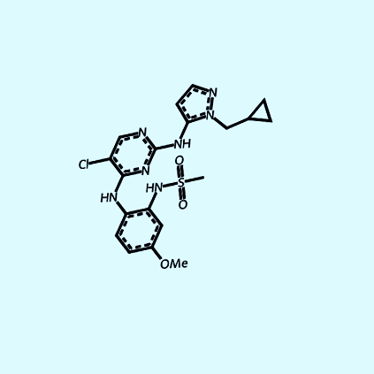 COc1ccc(Nc2nc(Nc3ccnn3CC3CC3)ncc2Cl)c(NS(C)(=O)=O)c1